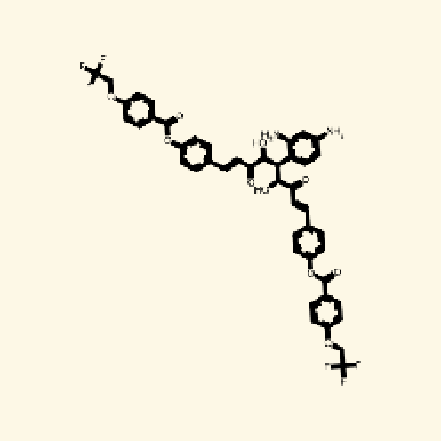 Nc1ccc(C(C(O)C(=O)/C=C/c2ccc(OC(=O)c3ccc(OCC(F)(F)F)cc3)cc2)C(O)C(=O)/C=C/c2ccc(OC(=O)c3ccc(OCC(F)(F)F)cc3)cc2)c(N)c1